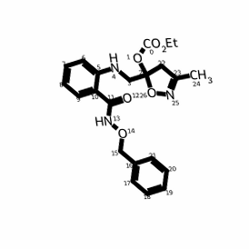 CCOC(=O)OC1(CNc2ccccc2C(=O)NOCc2ccccc2)CC(C)=NO1